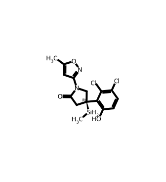 C[SiH2][C@@]1(c2c(O)ccc(Cl)c2Cl)CC(=O)N(c2cc(C)on2)C1